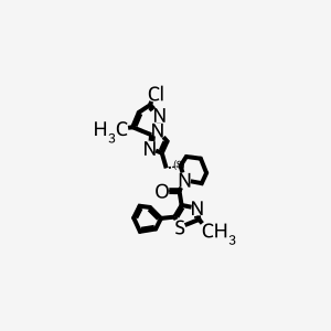 Cc1nc(C(=O)N2CCCC[C@H]2Cc2cn3nc(Cl)cc(C)c3n2)c(-c2ccccc2)s1